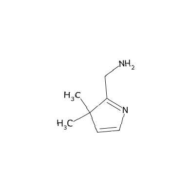 CC1(C)C=CN=C1CN